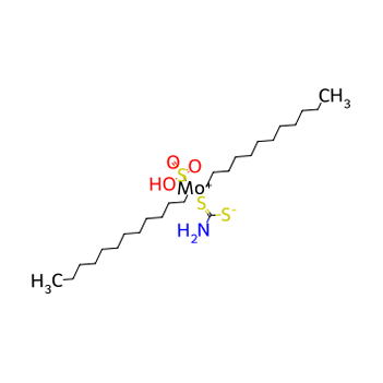 CCCCCCCCCCC[CH2][Mo+]([CH2]CCCCCCCCCCC)[S](=O)(=O)O.NC(=S)[S-]